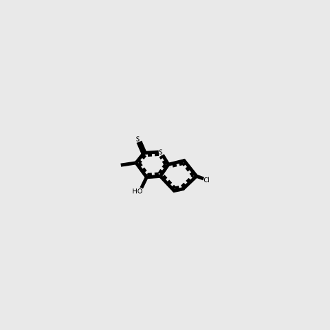 Cc1c(O)c2ccc(Cl)cc2sc1=S